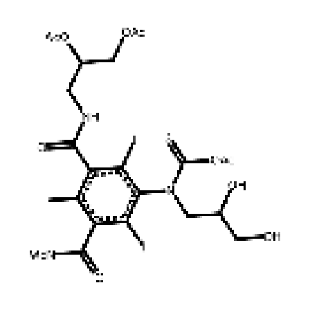 CNC(=O)c1c(I)c(C(=O)NCC(COC(C)=O)OC(C)=O)c(I)c(N(CC(O)CO)C(=O)OC(C)=O)c1I